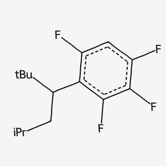 CC(C)CC(c1c(F)cc(F)c(F)c1F)C(C)(C)C